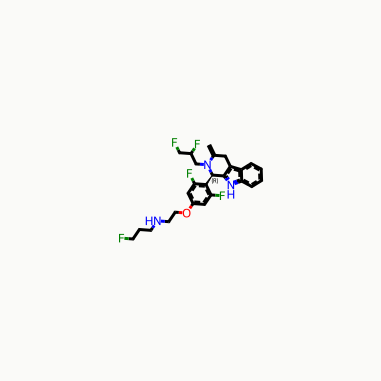 C=C1Cc2c([nH]c3ccccc23)[C@@H](c2c(F)cc(OCCNCCCF)cc2F)N1CC(F)CF